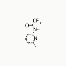 Cc1cccc(N(C)C(=O)C(F)(F)F)n1